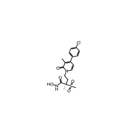 Cc1c(-c2ccc(Cl)cc2)ccn(CC[C@](C)(C(=O)NO)S(C)(=O)=O)c1=O